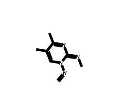 C=Nn1cc(C)c(C)n/c1=N/C